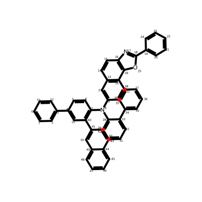 c1ccc(-c2ccc(N(c3ccc4c(ccc5nc(-c6ccccc6)oc54)c3)c3ccccc3-c3ccccc3)c(-c3ccc4ccccc4c3)c2)cc1